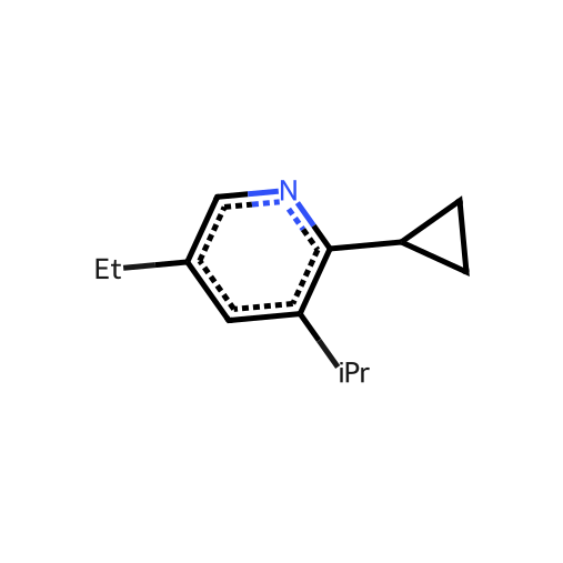 CCc1cnc(C2CC2)c(C(C)C)c1